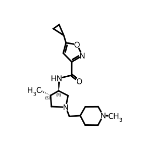 C[C@H]1CN(CC2CCN(C)CC2)C[C@@H]1NC(=O)c1cc(C2CC2)on1